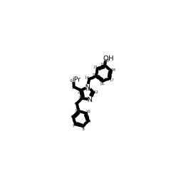 CC(C)Cc1c(Cc2ccccc2)ncn1Cc1cccc(O)c1